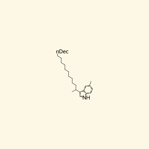 CCCCCCCCCCCCCCCCCCCCC(C)c1c[nH]c2ccc(C)cc12